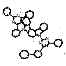 c1ccc(-c2cccc(-c3nc(-c4ccccc4)nc(-n4c5ccccc5c5c6c7ccccc7n(-c7ccccc7-c7nc(-c8ccccc8)nc(-c8ccccc8)n7)c6ccc54)n3)c2)cc1